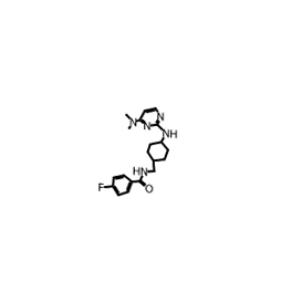 CN(C)c1ccnc(NC2CCC(CNC(=O)c3ccc(F)cc3)CC2)n1